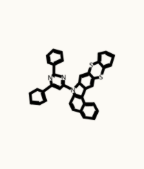 C1=CCCC(c2cc(N3c4ccc5ccccc5c4C4C=C5Sc6ccccc6SC5=CC43)nc(-c3ccccc3)n2)=C1